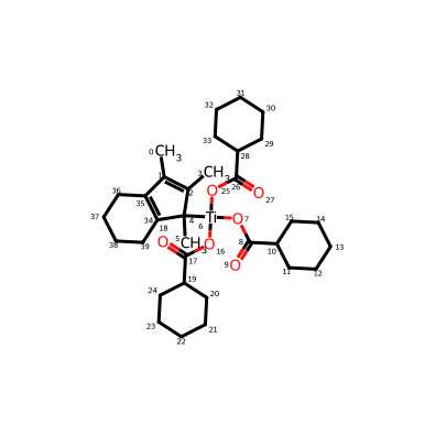 CC1=C(C)[C](C)([Ti]([O]C(=O)C2CCCCC2)([O]C(=O)C2CCCCC2)[O]C(=O)C2CCCCC2)C2=C1CCCC2